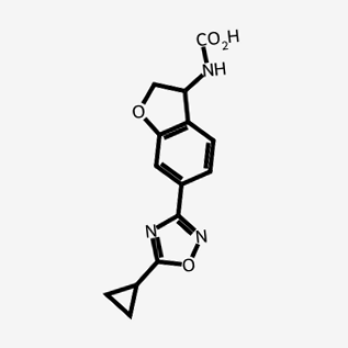 O=C(O)NC1COc2cc(-c3noc(C4CC4)n3)ccc21